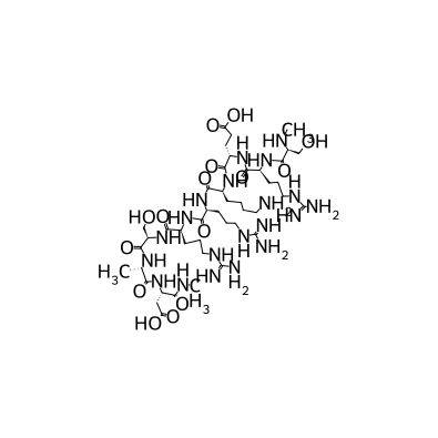 CNC(=O)[C@H](CC(=O)O)NC(=O)[C@H](C)NC(=O)[C@@H](CO)NC(=O)[C@H](CCCNC(=N)N)NC(=O)[C@H](CCCNC(=N)N)NC(=O)[C@H](CCCCN)NC(=O)[C@H](CCC(=O)O)NC(=O)[C@H](CCCNC(=N)N)NC(=O)[C@H](CO)NC